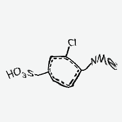 C[N]c1ccc(S(=O)(=O)O)cc1Cl